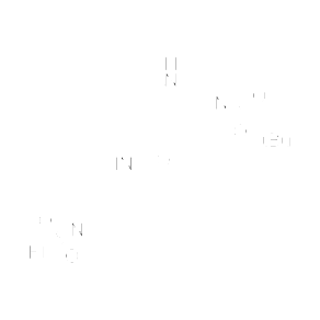 CCS(=O)(=O)N1CCC([C@@H](C)NC(=O)c2cc(NC3CN(C(=O)OC(C)(C)C)C3)ccc2C)CC1